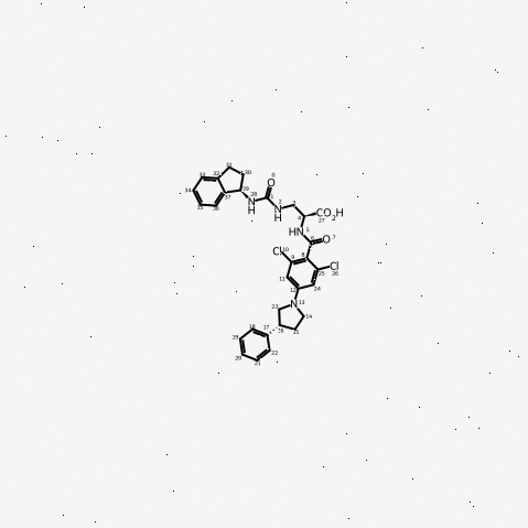 O=C(NC[C@H](NC(=O)c1c(Cl)cc(N2CC[C@H](c3ccccc3)C2)cc1Cl)C(=O)O)N[C@@H]1CCc2ccccc21